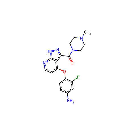 CN1CCN(C(=O)c2n[nH]c3nccc(Oc4ccc(N)cc4F)c23)CC1